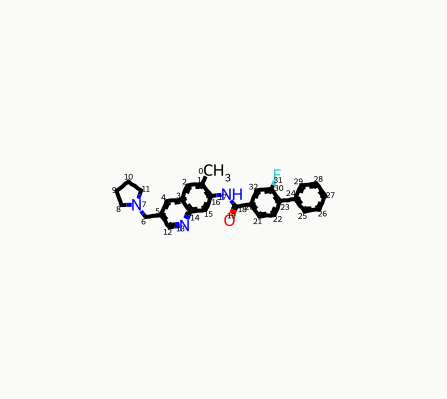 Cc1cc2cc(CN3CCCC3)cnc2cc1NC(=O)c1ccc(-c2ccccc2)c(F)c1